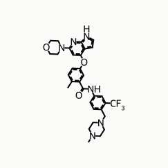 Cc1ccc(Oc2cc(N3CCOCC3)nc3[nH]ccc23)cc1C(=O)Nc1ccc(CN2CCN(C)CC2)c(C(F)(F)F)c1